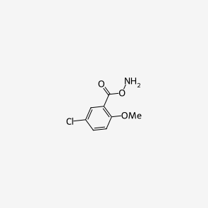 COc1ccc(Cl)cc1C(=O)ON